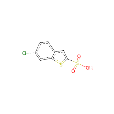 O=S(=O)(O)c1cc2ccc(Cl)cc2s1